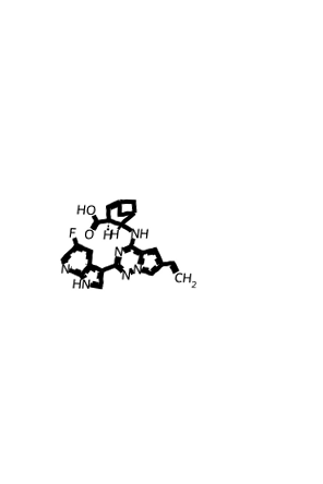 C=Cc1cc2c(N[C@H]3C4CC(=C[C@@H]3C(=O)O)C4)nc(-c3c[nH]c4ncc(F)cc34)nn2c1